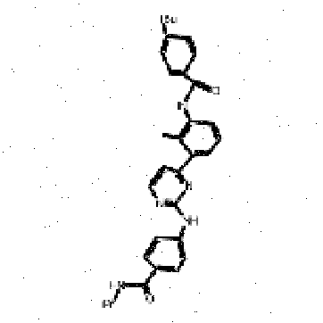 Cc1c(NC(=O)c2ccc(C(C)(C)C)cc2)cccc1-c1ccnc(Nc2ccc(C(=O)NC(C)C)cc2)n1